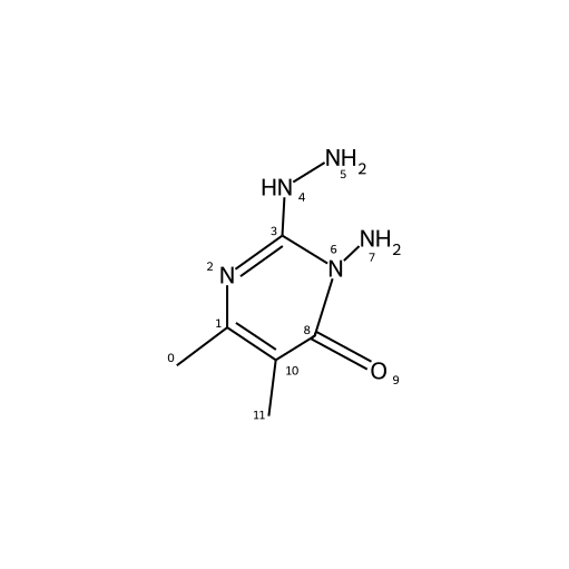 Cc1nc(NN)n(N)c(=O)c1C